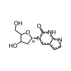 O=c1[nH]c2nccc-2cn1[C@H]1CC(O)C(CO)O1